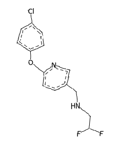 FC(F)CNCc1ccc(Oc2ccc(Cl)cc2)nc1